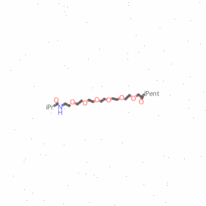 CCCC(C)C(=O)COCCOCCOCCOCCOCCOCCNC(=O)C(C)C